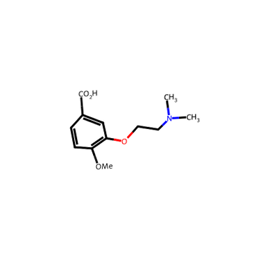 COc1ccc(C(=O)O)cc1OCCN(C)C